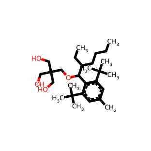 CCCCC(CC)C(OCC(CO)(CO)CO)c1c(C(C)(C)C)cc(C)cc1C(C)(C)C